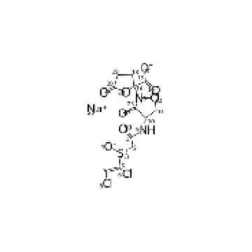 O=C(C[S+]([O-])C(Cl)=CCl)N[C@H]1CON(C2(C(=O)[O-])CCC(=O)O2)C1=O.[Na+]